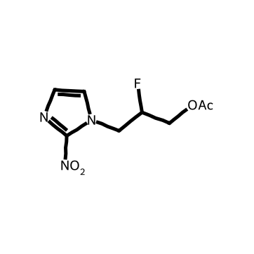 CC(=O)OCC(F)Cn1ccnc1[N+](=O)[O-]